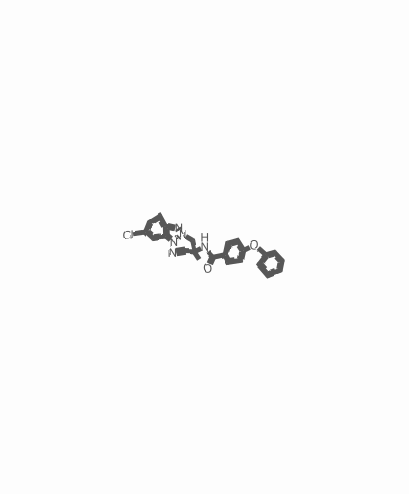 CC(C#N)(Cn1nc2ccc(Cl)cc2n1)NC(=O)c1ccc(Oc2ccccc2)cc1